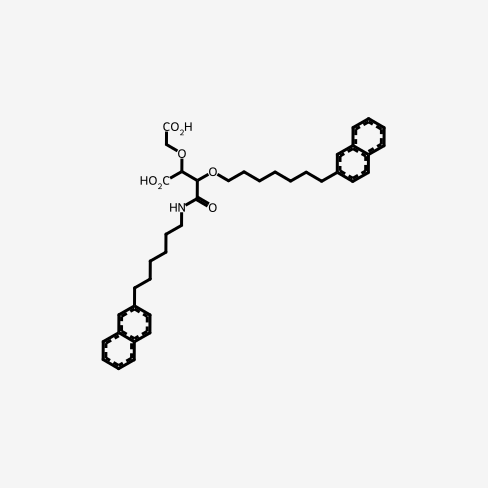 O=C(O)COC(C(=O)O)C(OCCCCCCCc1ccc2ccccc2c1)C(=O)NCCCCCCc1ccc2ccccc2c1